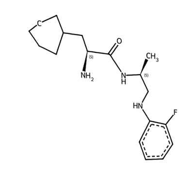 C[C@@H](CNc1ccccc1F)NC(=O)[C@@H](N)CC1CCCCC1